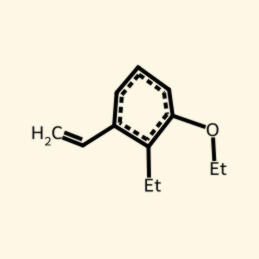 C=Cc1cccc(OCC)c1CC